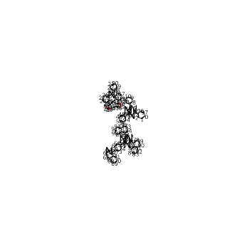 c1ccc(-c2nc(-c3cccc(-c4cc5c6c(c4)c4ccccc4n6-c4ccccc4C54c5ccccc5-c5ccccc54)c3)nc(-c3cccc(-c4ccc(-c5nc(-c6ccc(-c7nccc8ccccc78)cc6)nc(-c6cccc7ccccc67)n5)c5ccccc45)c3)n2)cc1